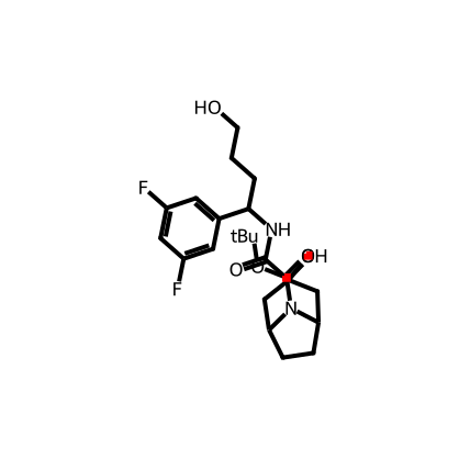 CC(C)(C)OC(=O)N1C2CCC1CC(O)(C(=O)NC(CCCO)c1cc(F)cc(F)c1)C2